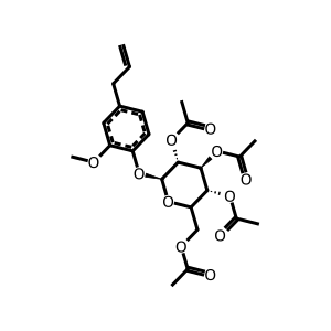 C=CCc1ccc(O[C@@H]2OC(COC(C)=O)[C@@H](OC(C)=O)[C@H](OC(C)=O)[C@H]2OC(C)=O)c(OC)c1